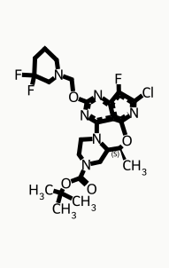 C[C@@H]1Oc2nc(Cl)c(F)c3nc(OCN4CCCC(F)(F)C4)nc(c23)N2CCN(C(=O)OC(C)(C)C)CC12